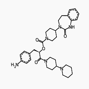 Nc1ccc(C[C@@H](OC(=O)N2CCC(N3CCc4ccccc4NC3=O)CC2)C(=O)N2CCC(N3CCCCC3)CC2)cc1